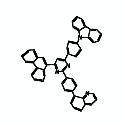 c1cnc2c(-c3ccc(-c4nc(-c5ccc(-n6c7ccccc7c7ccccc76)cc5)cc(-c5cc6ccccc6c6ccccc56)n4)cc3)cccc2c1